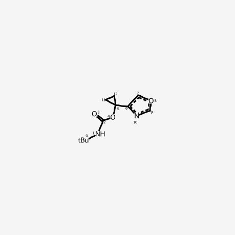 CC(C)(C)NC(=O)OC1(c2cocn2)CC1